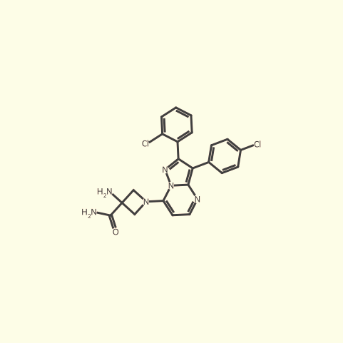 NC(=O)C1(N)CN(c2ccnc3c(-c4ccc(Cl)cc4)c(-c4ccccc4Cl)nn23)C1